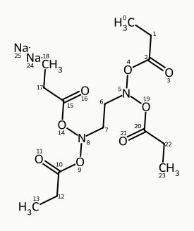 CCC(=O)ON(CCN(OC(=O)CC)OC(=O)CC)OC(=O)CC.[Na].[Na]